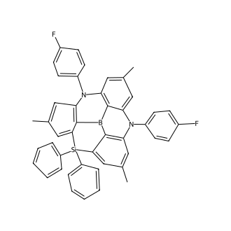 Cc1cc2c3c(c1)N(c1ccc(F)cc1)c1cc(C)cc4c1B3c1c(cc(C)cc1[Si]4(c1ccccc1)c1ccccc1)N2c1ccc(F)cc1